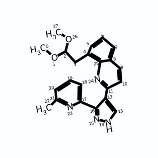 COC(Cc1cccc2ccc(-c3c[nH]nc3-c3cccc(C)n3)nc12)OC